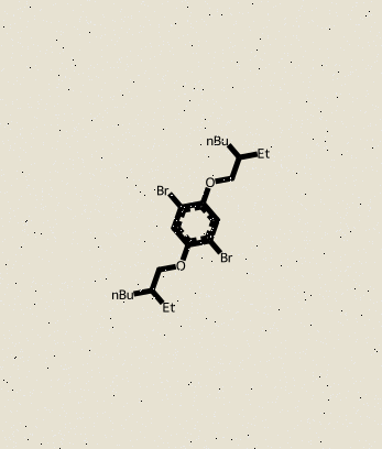 CCCCC(CC)COc1cc(Br)c(OCC(CC)CCCC)cc1Br